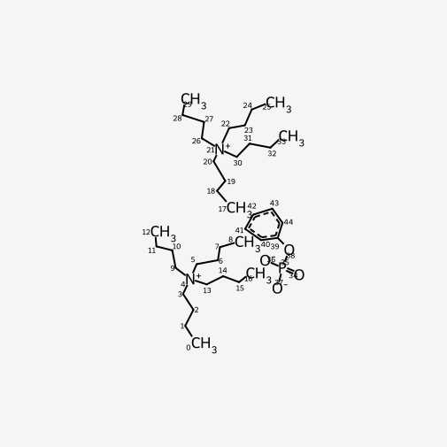 CCCC[N+](CCCC)(CCCC)CCCC.CCCC[N+](CCCC)(CCCC)CCCC.O=P([O-])([O-])Oc1ccccc1